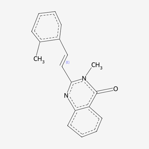 Cc1ccccc1/C=C/c1nc2ccccc2c(=O)n1C